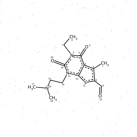 CCn1c(=O)c2c(C)c(C=O)sc2n(CCN(C)C)c1=O